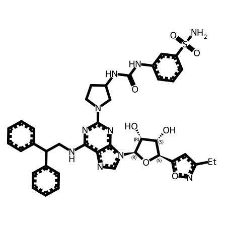 CCc1cc([C@H]2O[C@@H](n3cnc4c(NCC(c5ccccc5)c5ccccc5)nc(N5CCC(NC(=O)Nc6cccc(S(N)(=O)=O)c6)C5)nc43)[C@H](O)[C@@H]2O)on1